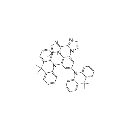 Cc1cnc2c3nccn3c3cc(N4c5ccccc5C(C)(C)c5ccccc54)cc(N4c5ccccc5C(C)(C)c5ccccc54)c3n12